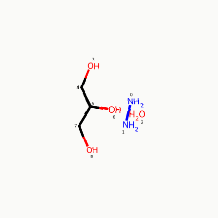 NN.O.OCC(O)CO